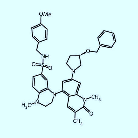 COc1ccc(CNS(=O)(=O)c2ccc3c(c2)N(c2cc(N4CC[C@@H](OCc5ccccc5)C4)cc4c2cc(C)c(=O)n4C)CCN3C)cc1